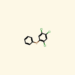 Clc1cc(Cl)c(Sc2ccccc2)cc1Cl